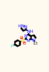 CCn1ccc2c(Nc3cc[nH]n3)nc(S(=O)(=O)c3ccc(F)cc3)nc21